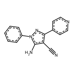 N#Cc1c(-c2ccncc2)nn(-c2ccccc2)c1N